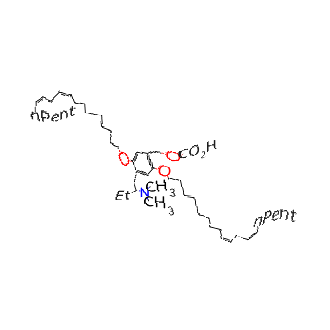 CCCCC/C=C\C/C=C\CCCCCCCCOc1cc(CC(CC)N(C)C)c(OCCCCCCCC/C=C\C/C=C\CCCCC)cc1COC(=O)O